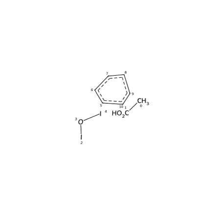 CC(=O)O.IOI.c1ccccc1